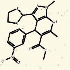 COC(=O)C1=C(C)Nc2c(c(C3SCCS3)nn2C)C1c1cccc([N+](=O)[O-])c1